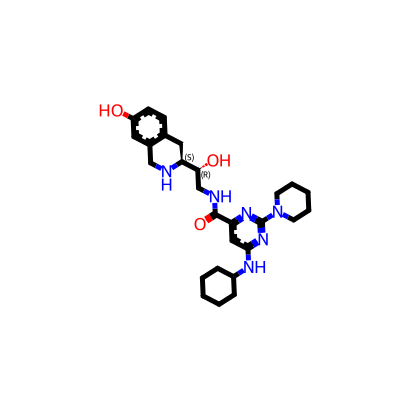 O=C(NC[C@@H](O)[C@@H]1Cc2ccc(O)cc2CN1)c1cc(NC2CCCCC2)nc(N2CCCCC2)n1